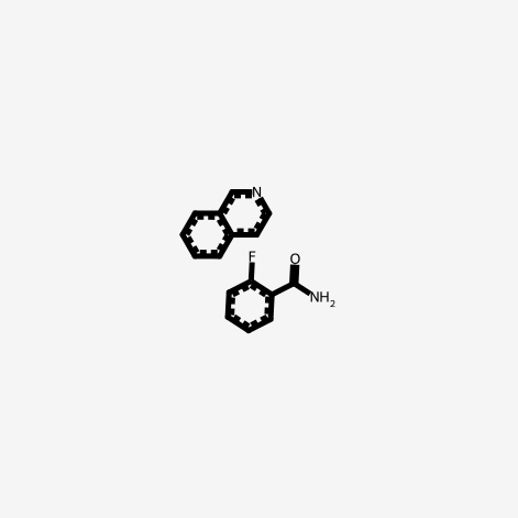 NC(=O)c1ccccc1F.c1ccc2cnccc2c1